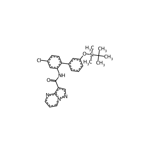 CC(C)(C)[Si](C)(C)Oc1cccc(-c2ccc(Cl)cc2NC(=O)c2cnn3cccnc23)c1